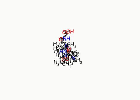 C/C(=C\CN(C)C(=O)C(NC(=O)[C@@H](N(C)C(=O)OC(C)(C)C)C(C)(C)c1cn(C)c2ccccc12)C(C)(C)C)C(=O)NCCC(=O)O